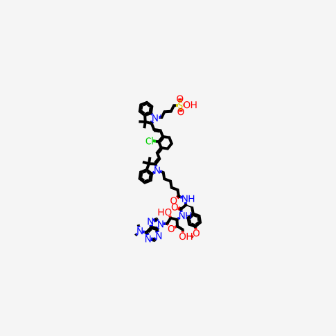 COc1ccc(C[C@H](NC(=O)CCCCCN2/C(=C/C=C3\CCCC(/C=C/C4=[N+](CCCCS(=O)(=O)O)c5ccccc5C4(C)C)=C3Cl)C(C)(C)c3ccccc32)C(=O)NC2C(CO)OC(n3cnc4c(N(C)C)ncnc43)C2O)cc1